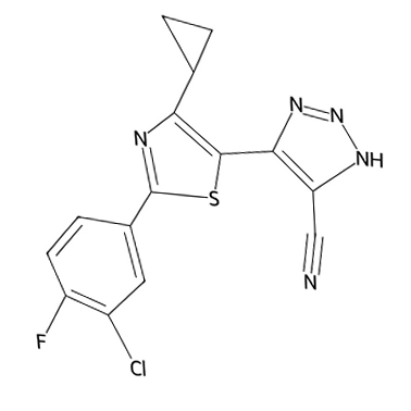 N#Cc1[nH]nnc1-c1sc(-c2ccc(F)c(Cl)c2)nc1C1CC1